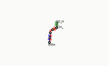 COc1ccc(-c2nc3cc4nc(-c5ccc(Oc6ccc(S(=O)(=O)c7ccc(C)c(C(F)(F)C(F)(F)C(F)(F)C(F)(F)S(=O)(=O)O)c7)cc6)cc5)oc4cc3o2)cc1